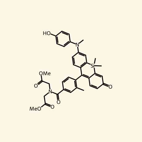 COC(=O)CN(CC(=O)OC)C(=O)c1ccc(C2=C3C=CC(=O)C=C3[Si](C)(C)c3cc(N(C)c4ccc(O)cc4)ccc32)c(C)c1